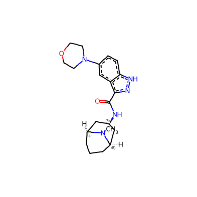 CN1[C@@H]2CCC[C@H]1C[C@@H](NC(=O)c1n[nH]c3ccc(N4CCOCC4)cc13)C2